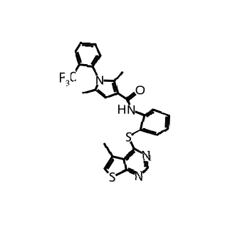 Cc1csc2ncnc(Sc3ccccc3NC(=O)c3cc(C)n(-c4ccccc4C(F)(F)F)c3C)c12